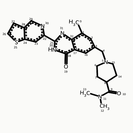 Cc1cc(CN2CCC(C(=O)N(C)C)CC2)cc2c(=O)[nH]c(-c3cc4sccc4cn3)nc12